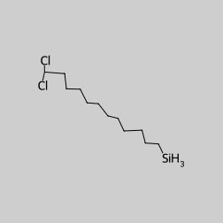 [SiH3]CCCCCCCCCCCC(Cl)Cl